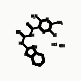 Cl.Cl.N=C(NC(=O)c1nc(Cl)c(N)nc1N)Nc1nc2ccccc2[nH]1